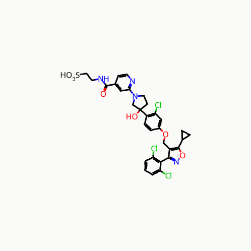 O=C(NCCS(=O)(=O)O)c1ccnc(N2CCC(O)(c3ccc(OCc4c(-c5c(Cl)cccc5Cl)noc4C4CC4)cc3Cl)C2)c1